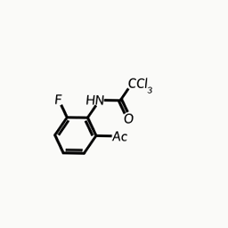 CC(=O)c1cccc(F)c1NC(=O)C(Cl)(Cl)Cl